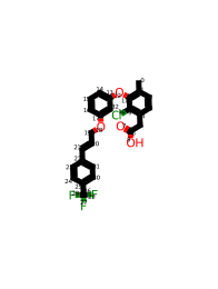 Cc1ccc(CC(=O)O)c(Cl)c1Oc1cccc(OC/C=C/c2ccc(C(F)(F)F)cc2)c1